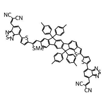 CS/C(=C\c1ccc2c(c1)C(c1ccc(C)cc1)(c1ccc(C)cc1)c1cc3c(cc1-2)C(c1ccc(C)cc1)(c1ccc(C)cc1)c1c-3ccc2cc(-c3ccc(-c4ccc(C=C(C#N)C#N)c5nsnc45)s3)sc12)c1ccc(-c2ccc(C=C(C#N)C#N)c3nsnc23)s1